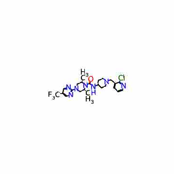 C[C@@H]1CN(c2ncc(C(F)(F)F)cn2)C[C@H](C)N1C(=O)NC1CCN(Cc2cccnc2Cl)CC1